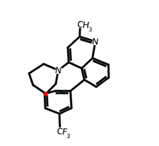 Cc1cc(N2CCCCC2)c2c(-c3cccc(C(F)(F)F)c3)cccc2n1